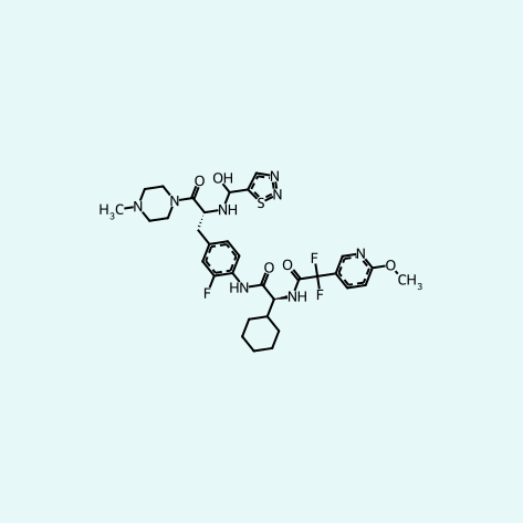 COc1ccc(C(F)(F)C(=O)N[C@H](C(=O)Nc2ccc(C[C@@H](NC(O)c3cnns3)C(=O)N3CCN(C)CC3)cc2F)C2CCCCC2)cn1